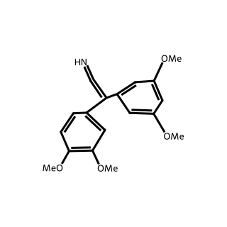 COc1cc(OC)cc(C(=C=N)c2ccc(OC)c(OC)c2)c1